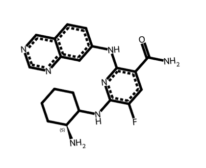 NC(=O)c1cc(F)c(NC2CCCC[C@@H]2N)nc1Nc1ccc2cncnc2c1